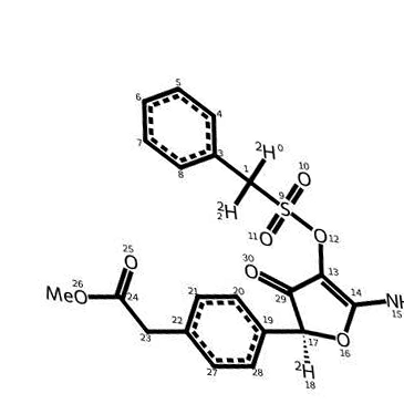 [2H]C([2H])(c1ccccc1)S(=O)(=O)OC1=C(N)O[C@@]([2H])(c2ccc(CC(=O)OC)cc2)C1=O